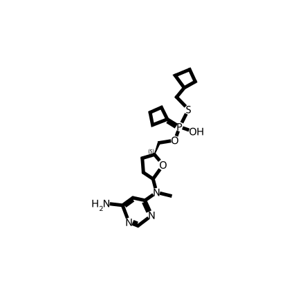 CN(c1cc(N)ncn1)C1CC[C@@H](COP(O)(SCC2CCC2)=C2CCC2)O1